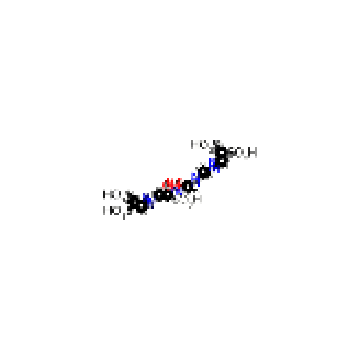 Cc1cc(N=Nc2c(S(=O)(=O)O)cc3cc(-n4nc5ccc6c(S(=O)(=O)O)cc(S(=O)(=O)O)cc6c5n4)ccc3c2O)c(O)cc1N=Nc1ccc(-n2nc3ccc4c(S(=O)(=O)O)cc(S(=O)(=O)O)cc4c3n2)cc1